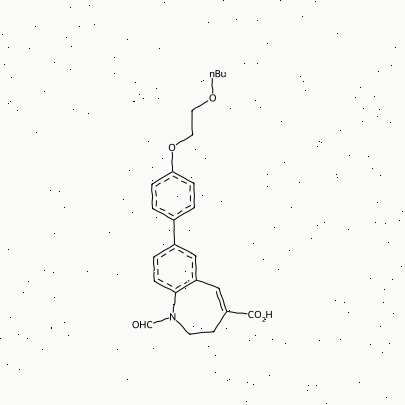 CCCCOCCOc1ccc(-c2ccc3c(c2)C=C(C(=O)O)CCN3C=O)cc1